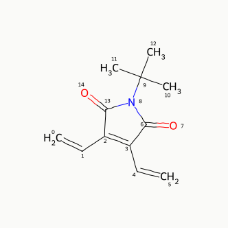 C=CC1=C(C=C)C(=O)N(C(C)(C)C)C1=O